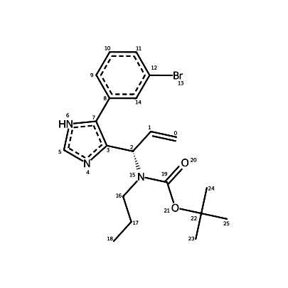 C=C[C@@H](c1nc[nH]c1-c1cccc(Br)c1)N(CCC)C(=O)OC(C)(C)C